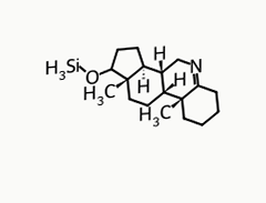 C[C@]12CCCCC1=NC[C@@H]1[C@H]2CC[C@]2(C)C(O[SiH3])CC[C@@H]12